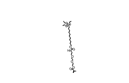 C=C(C)C(=O)OCCOCCOCCNC(=O)OCCCCCCCCCCC[Si](OCC)(OCC)OCC